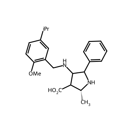 COc1ccc(C(C)C)cc1CNC1C(c2ccccc2)N[C@H](C)C1C(=O)O